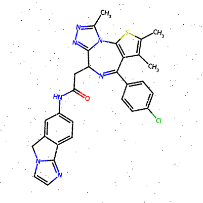 Cc1sc2c(c1C)C(c1ccc(Cl)cc1)=NC(CC(=O)Nc1ccc3c(c1)Cn1ccnc1-3)c1nnc(C)n1-2